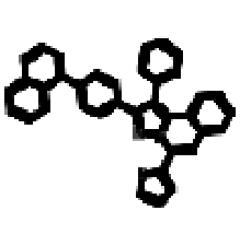 c1ccc(-c2c(-c3ccc(-c4cccc5ccccc45)cc3)nn3c(-c4cccs4)cc4ccccc4c23)cc1